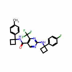 Cc1ccc(C2(NC(=O)c3cnc(NC4(c5ccc(F)cc5)CCC4)nc3C(F)(F)F)CCC2)cc1